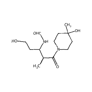 CC(C(=O)N1CCC(C)(O)CC1)C(CCO)NC=O